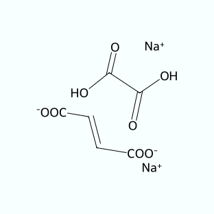 O=C(O)C(=O)O.O=C([O-])C=CC(=O)[O-].[Na+].[Na+]